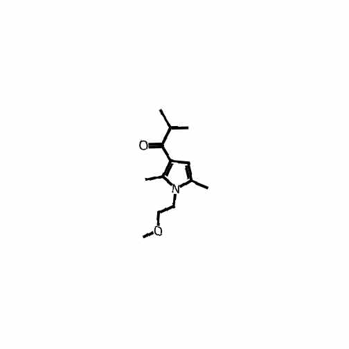 COCCn1c(C)cc(C(=O)C(C)C)c1C